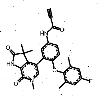 C#CC(=O)Nc1ccc(Oc2c(C)cc(F)cc2C)c(-c2cn(C)c(=O)c3c2C(C)(C)C(=O)N3)c1